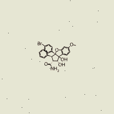 COc1ccc2c(c1)O[C@@]1(c3ccc(Br)cc3)[C@H](c3ccccc3)[C@@H](C(N)=O)[C@@H](O)[C@@]21O